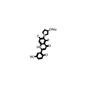 CO[C@@H]1CCN(c2c(F)cc3[nH]c(-c4cc(C#N)ccc4Cl)cc(=O)c3c2F)C1